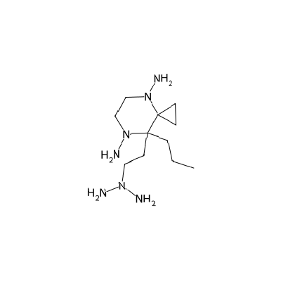 CCCC1(CCN(N)N)N(N)CCN(N)C12CC2